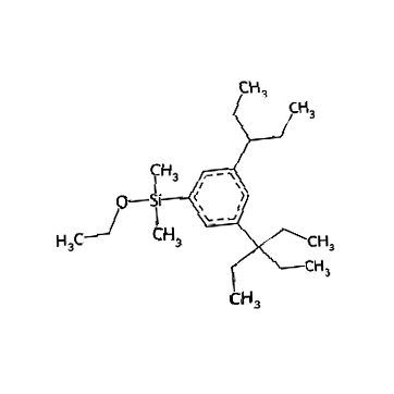 CCO[Si](C)(C)c1cc(C(CC)CC)cc(C(CC)(CC)CC)c1